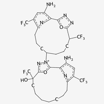 Nc1cc(C(F)(F)F)c2nc1-c1nnc(o1)C(C(F)(F)F)CCCC([n+]1nc3oc1-c1nc(c(C(F)(F)F)cc1N)CCCCCCCC3(O)C(F)(F)F)CCC2